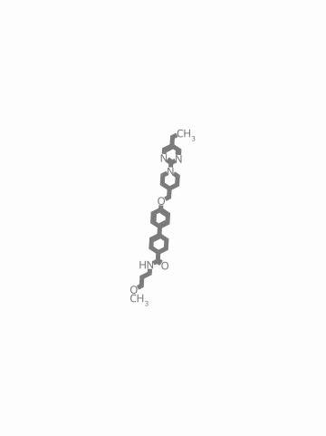 CCc1cnc(N2CCC(COc3ccc(C4=CCC(C(=O)NCCCOC)CC4)cc3)CC2)nc1